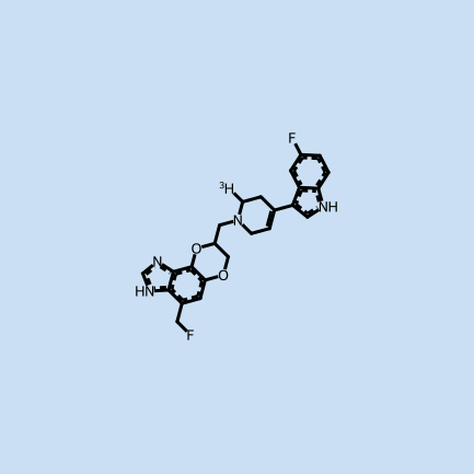 [3H]C1CC(c2c[nH]c3ccc(F)cc23)=CCN1CC1COc2cc(CF)c3[nH]cnc3c2O1